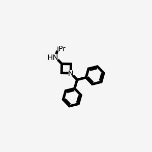 CC(C)NC1CN(C(c2ccccc2)c2ccccc2)C1